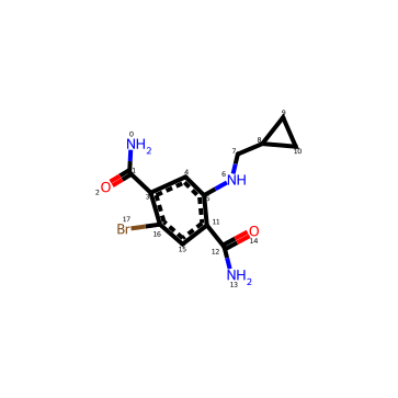 NC(=O)c1cc(NCC2CC2)c(C(N)=O)cc1Br